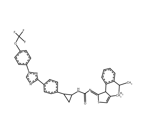 CC1=CS/C(=N\C(=O)NC2CC2c2ccc(-c3ncn(-c4ccc(OC(F)(F)F)cc4)n3)cc2)C1c1ccccc1C(C)C